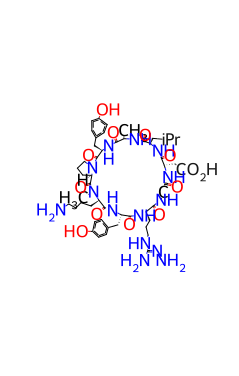 CC(C)C[C@H]1NC(=O)[C@H](CC(=O)O)NC(=O)CNC(=O)[C@@H](CCCNC(N)=NN)NC(=O)[C@H](Cc2ccc(O)cc2)NC(=O)[C@@H](CCCCN)N(C)C(=O)[C@H]2CCCN2C(=O)[C@@H](Cc2ccc(O)cc2)NC(=O)[C@H](C)NC1=O